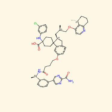 C[C@@H](COc1ccnc2c1[C@H](C)CCC2)C[C@H]1Cc2ccc(OCCCC(=O)N[C@H](C)c3cccc(-c4cnc(C(N)=O)nc4)c3)cc2C12CCC(Nc1cccc(Cl)c1)(C(=O)O)CC2